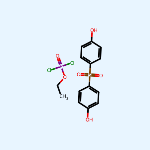 CCOP(=O)(Cl)Cl.O=S(=O)(c1ccc(O)cc1)c1ccc(O)cc1